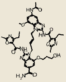 CCc1nc(C)oc1C(=O)Nc1nc2cc(NC(C)=O)cc(OC)c2n1C/C=C/Cn1c(NC(=O)c2oc(C)nc2CC)nc2cc(C(N)=O)cc(OCCCO)c21